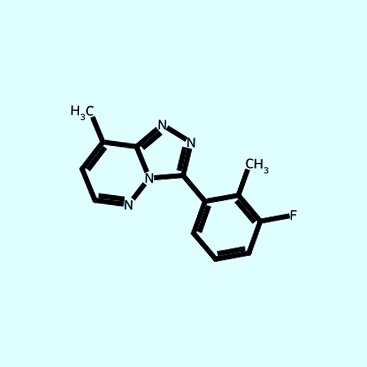 Cc1c(F)cccc1-c1nnc2c(C)ccnn12